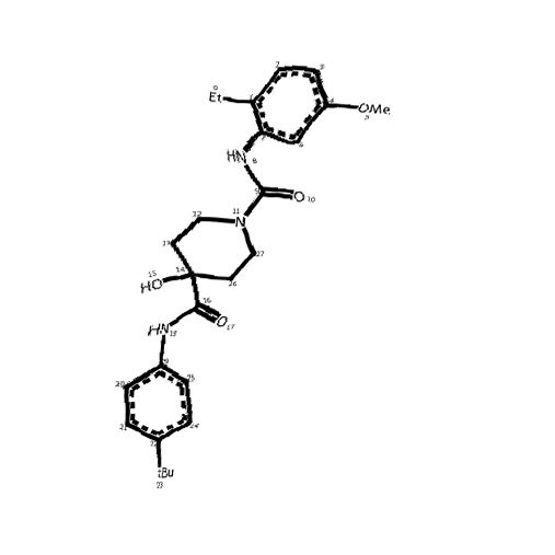 CCc1ccc(OC)cc1NC(=O)N1CCC(O)(C(=O)Nc2ccc(C(C)(C)C)cc2)CC1